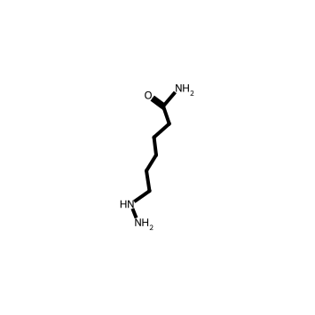 NNCCCCCC(N)=O